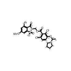 COc1cc(C(C)C)c2c(c1)S(=O)(=O)N(COC(=O)c1c(Cl)ccc(OC(C)N3CCCC3)c1Cl)C2=O